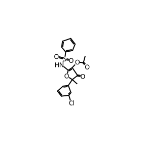 CC(=O)OC1=C(NS(=O)(=O)c2ccccc2)OC(C)(c2cccc(Cl)c2)C1=O